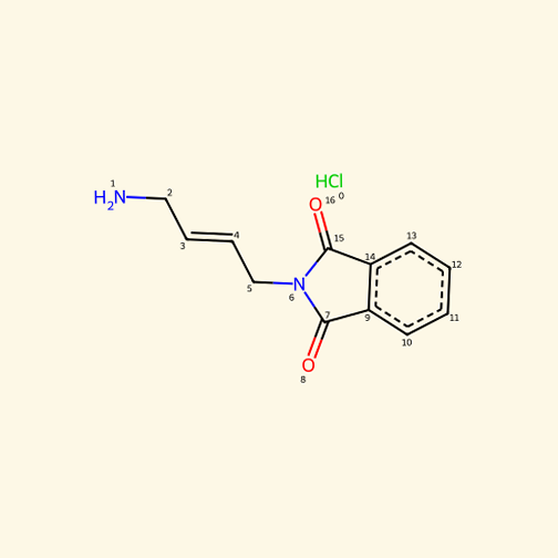 Cl.NCC=CCN1C(=O)c2ccccc2C1=O